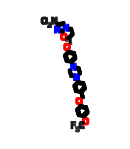 O=[N+]([O-])c1cn2c(n1)O[C@@H](COc1ccc(N3CCN(c4ccc(COc5ccc(OC(F)(F)F)cc5)cc4)CC3)cc1)CC2